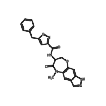 CN1C(=O)C(NC(=O)c2cc(Cc3ccccc3)on2)COc2cc3[nH]ncc3cc21